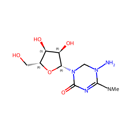 CNC1=NC(=O)N([C@@H]2O[C@H](CO)[C@@H](O)[C@H]2O)CN1N